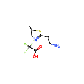 Cc1cnc(CCN)s1.O=C(O)C(F)(F)F